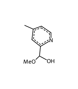 COC(O)c1cc(C)ccn1